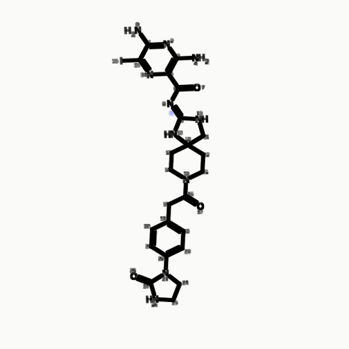 Nc1nc(N)c(C(=O)/N=C2\NCC3(CCN(C(=O)Cc4ccc(N5CCNC5=O)cc4)CC3)N2)nc1I